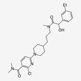 CCc1cccc(C(O)C(=O)N(C)CCCC2CCN(c3ccc(C(=O)N(C)C)c(Cl)n3)CC2)c1